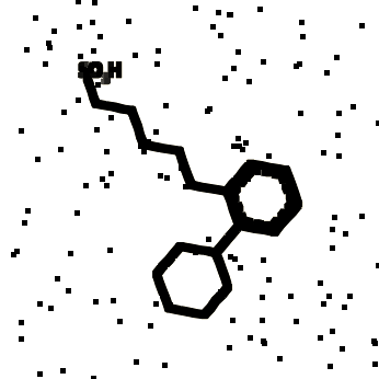 O=S(=O)(O)CCCCCc1ccccc1C1CCCCC1